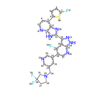 Fc1ccc(-c2ccnc3[nH]c(-c4n[nH]c5ncc(-c6cncc(CN7CCC(F)(F)C7)c6)c(F)c45)nc23)s1